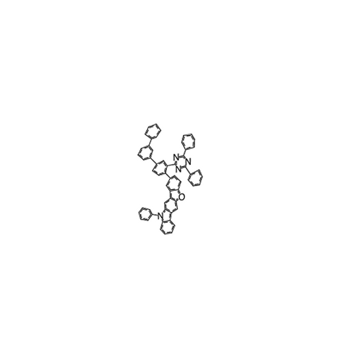 c1ccc(-c2cccc(-c3ccc(-c4ccc5oc6cc7c8ccccc8n(-c8ccccc8)c7cc6c5c4)c(-c4nc(-c5ccccc5)nc(-c5ccccc5)n4)c3)c2)cc1